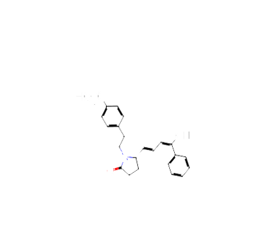 CC(=CC=C[C@H]1CCC(=O)N1CCc1ccc(C(=O)O)cc1)c1ccccc1